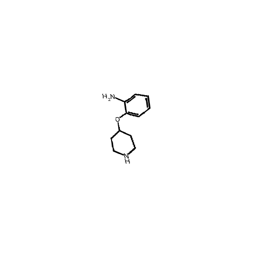 Nc1ccccc1OC1CCNCC1